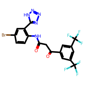 O=C(CC(=O)c1cc(C(F)(F)F)cc(C(F)(F)F)c1)Nc1ccc(Br)cc1-c1nnn[nH]1